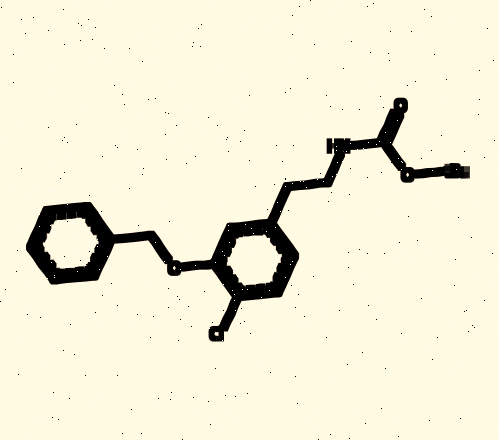 CC(C)(C)OC(=O)NCCc1ccc(Cl)c(OCc2ccccc2)c1